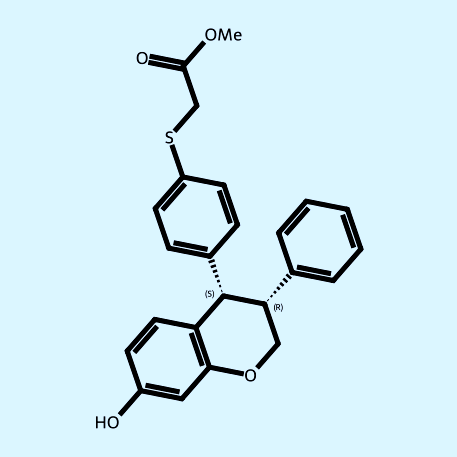 COC(=O)CSc1ccc([C@H]2c3ccc(O)cc3OC[C@H]2c2ccccc2)cc1